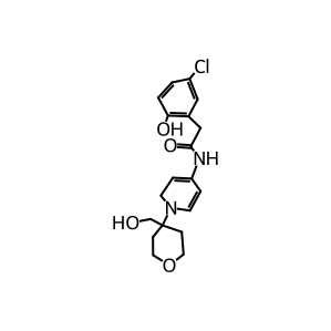 O=C(Cc1cc(Cl)ccc1O)NC1=CCN(C2(CO)CCOCC2)C=C1